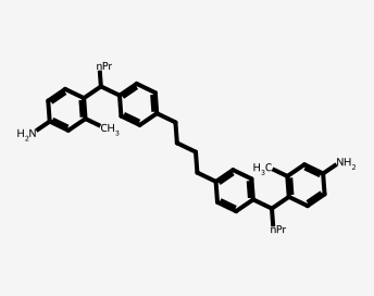 CCCC(c1ccc(CCCCc2ccc(C(CCC)c3ccc(N)cc3C)cc2)cc1)c1ccc(N)cc1C